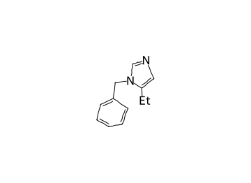 CCc1cncn1Cc1ccccc1